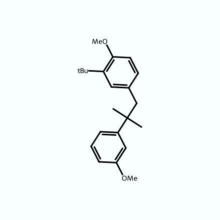 COc1cccc(C(C)(C)Cc2ccc(OC)c(C(C)(C)C)c2)c1